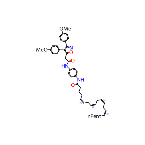 CCCCC/C=C\C/C=C\C/C=C\C/C=C\CCCC(=O)Nc1ccc(NC(=O)Cc2onc(-c3ccc(OC)cc3)c2-c2ccc(OC)cc2)cc1